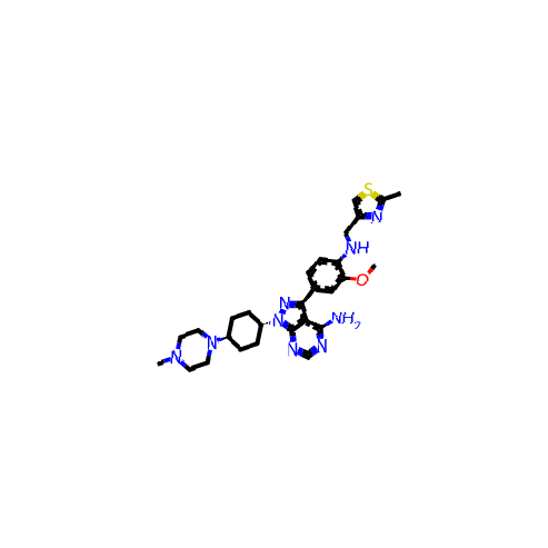 COc1cc(-c2nn([C@H]3CC[C@H](N4CCN(C)CC4)CC3)c3ncnc(N)c23)ccc1NCc1csc(C)n1